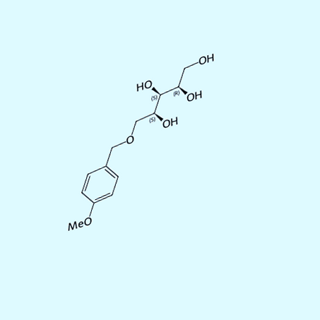 COc1ccc(COC[C@H](O)[C@@H](O)[C@H](O)CO)cc1